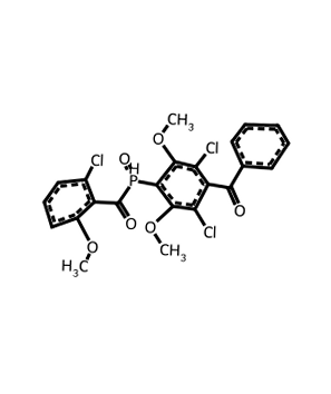 COc1cccc(Cl)c1C(=O)[PH](=O)c1c(OC)c(Cl)c(C(=O)c2ccccc2)c(Cl)c1OC